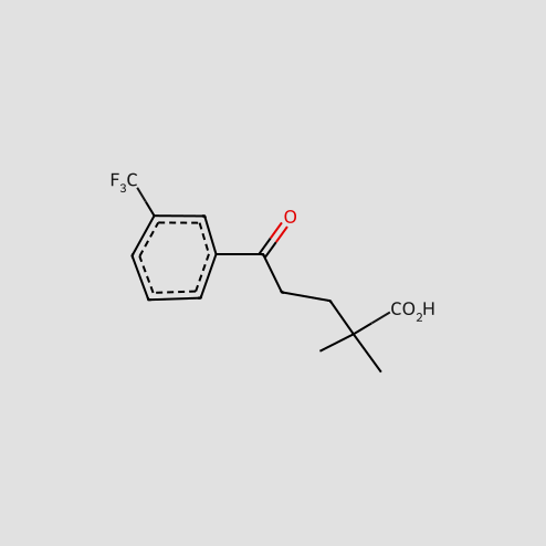 CC(C)(CCC(=O)c1cccc(C(F)(F)F)c1)C(=O)O